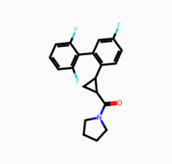 O=C(C1CC1c1ccc(F)cc1-c1c(F)cccc1F)N1CCCC1